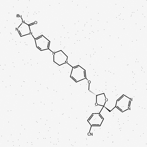 CCC(C)n1ncn(-c2ccc(N3CCN(c4ccc(OC[C@@H]5CO[C@](Cc6ccnnc6)(c6ccc(C#N)cc6)O5)cc4)CC3)cc2)c1=O